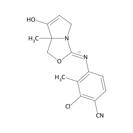 Cc1c(/N=C2\OCC3(C)C(O)=CCN23)ccc(C#N)c1Cl